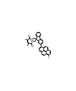 C=C(C)C(=O)OCC1(COC(=O)C(=C)C)c2ccccc2-c2ccc(-c3ccc4ccc5c(I)ccc6ccc3c4c65)cc21